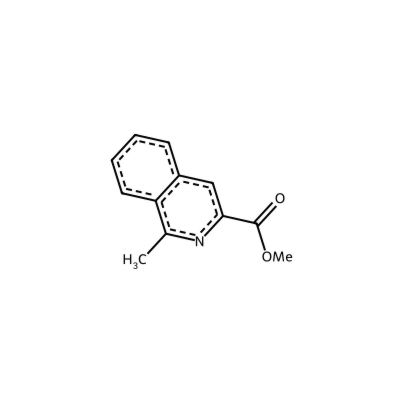 COC(=O)c1cc2ccccc2c(C)n1